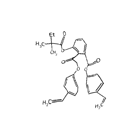 C=Cc1ccc(OC(=O)c2cccc(OC(=O)C(C)(C)CC)c2C(=O)Oc2ccc(C=C)cc2)cc1